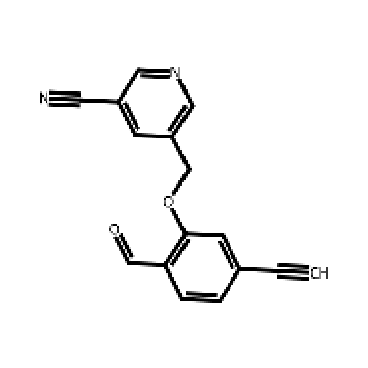 C#Cc1ccc(C=O)c(OCc2cncc(C#N)c2)c1